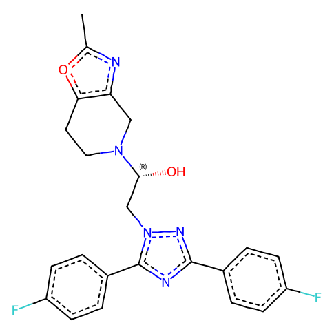 Cc1nc2c(o1)CCN([C@H](O)Cn1nc(-c3ccc(F)cc3)nc1-c1ccc(F)cc1)C2